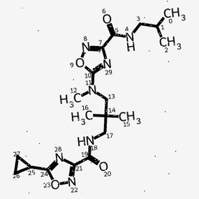 CC(C)CNC(=O)c1noc(N(C)CC(C)(C)CNC(=O)c2noc(C3CC3)n2)n1